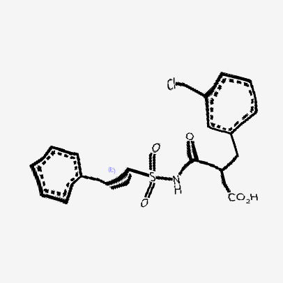 O=C(O)C(Cc1cccc(Cl)c1)C(=O)NS(=O)(=O)/C=C/c1ccccc1